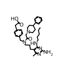 CCCCCNc1nc(N)nc(C)c1CCCN(Cc1ccc(CC(=O)O)cc1)C(=O)CN1CCC(c2ccccc2)CC1